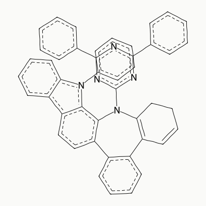 C1=CC2=C(CC1)N(c1nc(-c3ccccc3)nc(-c3ccccc3)n1)c1c(ccc3c4ccccc4n(-c4ccccc4)c13)-c1ccccc12